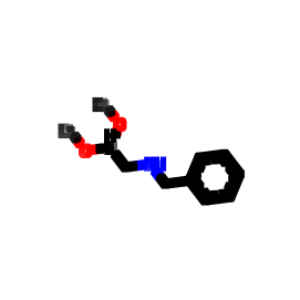 CCO[SiH](CNCc1ccccc1)OCC